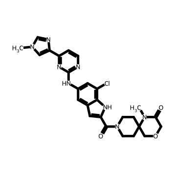 CN1C(=O)COCC12CCN(C(=O)c1cc3cc(Nc4nccc(-c5cn(C)cn5)n4)cc(Cl)c3[nH]1)CC2